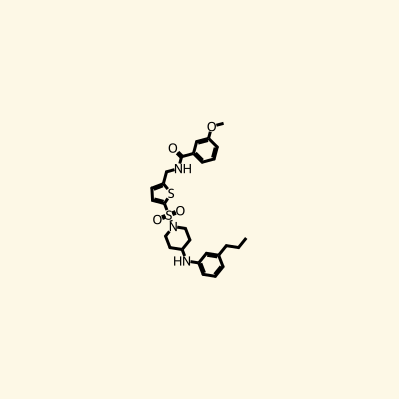 CCCc1cccc(NC2CCN(S(=O)(=O)c3ccc(CNC(=O)c4cccc(OC)c4)s3)CC2)c1